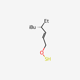 CCC(/C=C/COS)[C@@H](C)CC